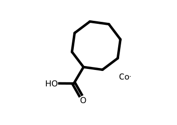 O=C(O)C1CCCCCCC1.[Co]